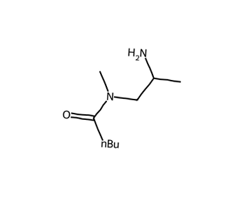 CCCCC(=O)N(C)CC(C)N